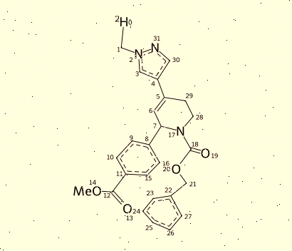 [2H]Cn1cc(C2=CC(c3ccc(C(=O)OC)cc3)N(C(=O)OCc3ccccc3)CC2)cn1